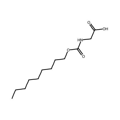 CCCCCCCCCOC(=O)NCC(=O)O